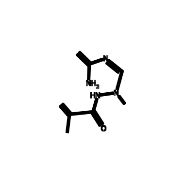 C=C(N)/N=C\N(C)NC(=O)C(=C)C